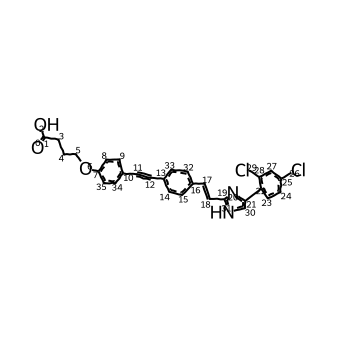 O=C(O)CCCOc1ccc(C#Cc2ccc(C=Cc3nc(-c4ccc(Cl)cc4Cl)c[nH]3)cc2)cc1